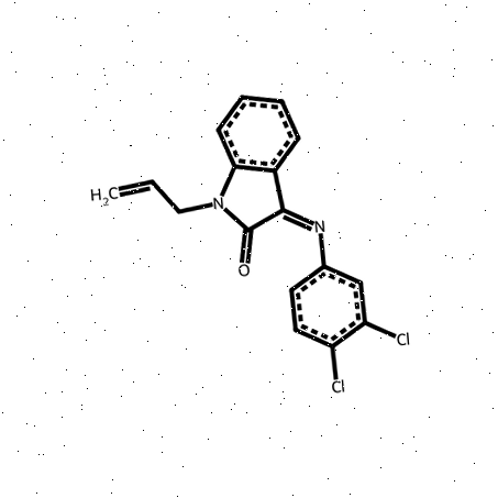 C=CCN1C(=O)C(=Nc2ccc(Cl)c(Cl)c2)c2ccccc21